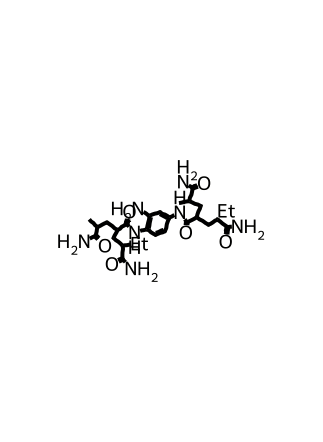 CCC(CC(CC(C)C(N)=O)C(=O)Nc1ccc(NC(=O)C(CC(C)C(N)=O)CC(CC)C(N)=O)c(N)c1)C(N)=O